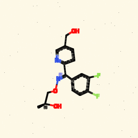 C[C@H](O)CO/N=C(\c1ccc(F)c(F)c1)c1ccc(CO)cn1